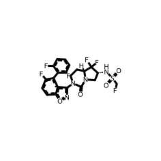 O=C1N(c2noc3ccc(F)c(-c4c(F)cccc4F)c23)CC[C@H]2N1C[C@@H](NS(=O)(=O)CF)C2(F)F